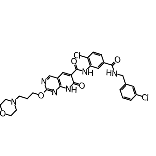 O=C(NCc1cccc(Cl)c1)c1ccc(Cl)c(NC(=O)c2cc3cnc(OCCCN4CCOCC4)nc3[nH]c2=O)c1